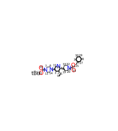 C=Cc1cc(N2CCN(C(=O)OC(C)(C)C)CC2)cnc1C1=CCN(C(=O)OCc2ccccc2)CC1